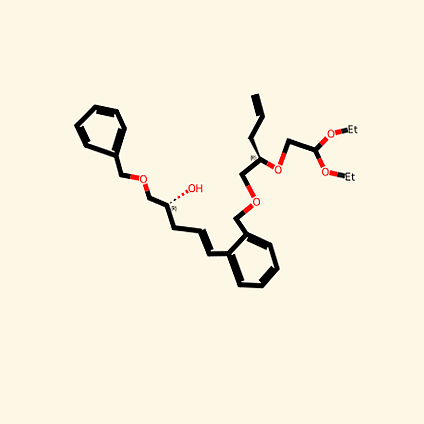 C=CC[C@H](COCc1ccccc1C=CC[C@@H](O)COCc1ccccc1)OCC(OCC)OCC